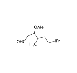 COC(CC=O)C(C)CCC(C)C